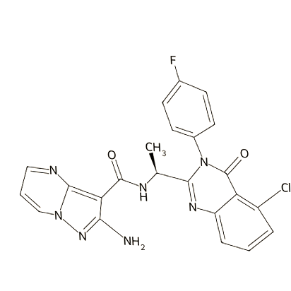 C[C@H](NC(=O)c1c(N)nn2cccnc12)c1nc2cccc(Cl)c2c(=O)n1-c1ccc(F)cc1